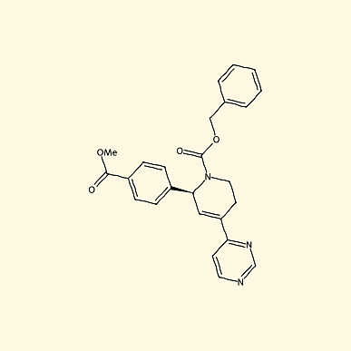 COC(=O)c1ccc([C@@H]2C=C(c3ccncn3)CCN2C(=O)OCc2ccccc2)cc1